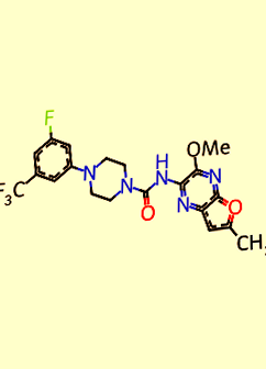 COc1nc2oc(C)cc2nc1NC(=O)N1CCN(c2cc(F)cc(C(F)(F)F)c2)CC1